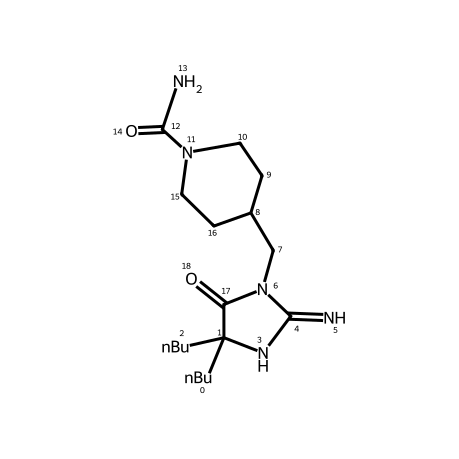 CCCCC1(CCCC)NC(=N)N(CC2CCN(C(N)=O)CC2)C1=O